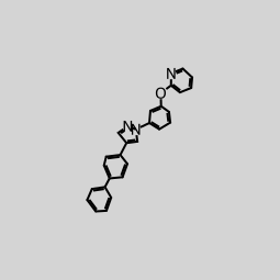 c1ccc(-c2ccc(-c3cnn(-c4cccc(Oc5ccccn5)c4)c3)cc2)cc1